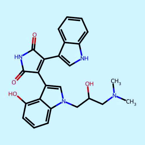 CN(C)CC(O)Cn1cc(C2=C(c3c[nH]c4ccccc34)C(=O)NC2=O)c2c(O)cccc21